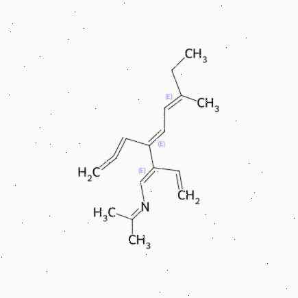 C=C=CC(=C\C=C(/C)CC)/C(C=C)=C/N=C(C)C